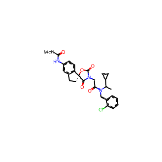 CNC(=O)Nc1ccc2c(c1)CC[C@@]21OC(=O)N(CC(=O)N(Cc2ccccc2Cl)C(C)C2CC2)C1=O